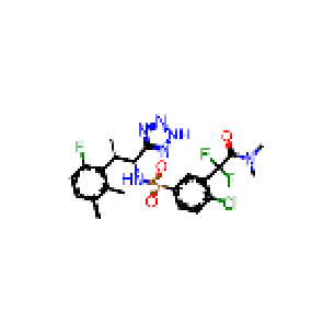 Cc1ccc(F)c([C@@H](C)[C@H](NS(=O)(=O)c2ccc(Cl)c(C(F)(F)C(=O)N(C)C)c2)c2nn[nH]n2)c1C